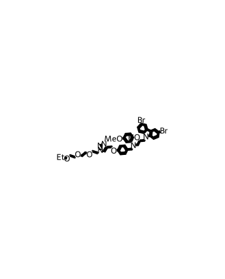 CCOCCOCCOCCn1cc(COc2ccc(CN(CC(O)Cn3c4ccc(Br)cc4c4cc(Br)ccc43)c3cccc(OC)c3)cc2)nn1